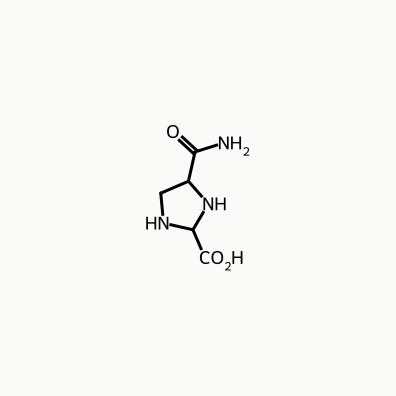 NC(=O)C1CNC(C(=O)O)N1